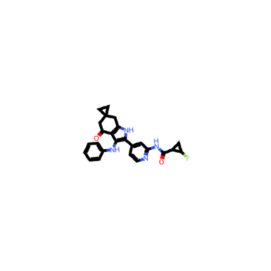 O=C1CC2(CC2)Cc2[nH]c(-c3ccnc(NC(=O)C4CC4F)c3)c(Nc3ccccc3)c21